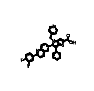 O=C(O)c1cc2c(s1)c(-c1ccccc1)c(-c1ccc3nc(-c4ccc(F)c(F)c4)ccc3c1)n2Cc1ccncc1